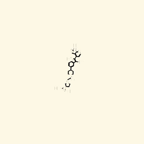 CC(C)c1c(-c2ccnc3[nH]ncc23)[nH]c2ccc(C3CCN(C(=O)CN4CCC(N(C)C)C4)CC3)cc12